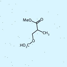 COC(=O)C(C)COC(=O)O